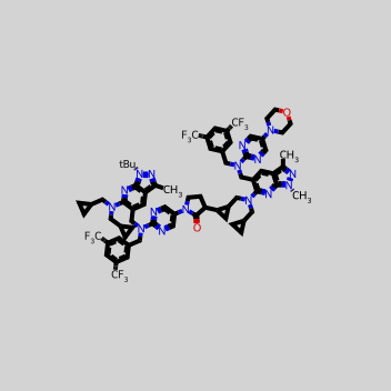 Cc1nn(C)c2nc(N(CC3CC3)CC3CC3C3CCN(c4cnc(N(Cc5cc(C(F)(F)F)cc(C(F)(F)F)c5)Cc5cc6c(C)nn(C(C)(C)C)c6nc5N(CC5CC5)CC5CC5)nc4)C3=O)c(CN(Cc3cc(C(F)(F)F)cc(C(F)(F)F)c3)c3ncc(N4CCOCC4)cn3)cc12